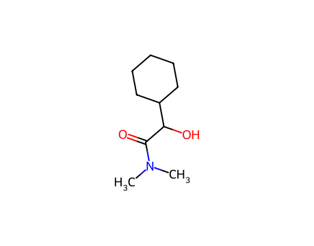 CN(C)C(=O)C(O)C1CCCCC1